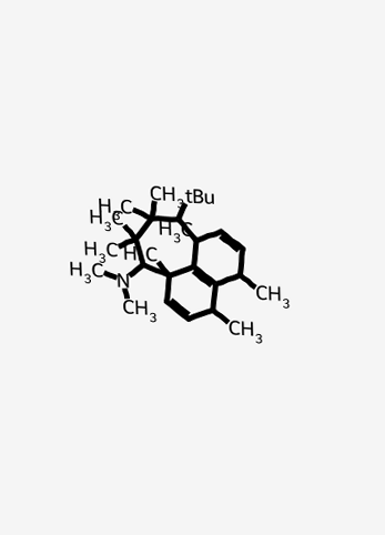 CC1C=CC2(C)C3=C1C(C)C=CC3(C)C(C(C)(C)C)C(C)(C)C(C)(C)C2N(C)C